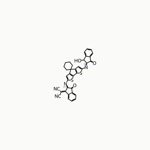 N#CC(C#N)=C1/C(=N/c2cc3c(s2)-c2sc(/N=C4/C(=O)c5ccccc5C4O)cc2C32CCCCC2)C(=O)c2ccccc21